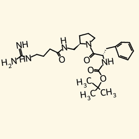 CC(C)(C)OC(=O)N[C@@H](Cc1ccccc1)C(=O)N1CCC[C@@H]1CNC(=O)CCCNC(=N)N